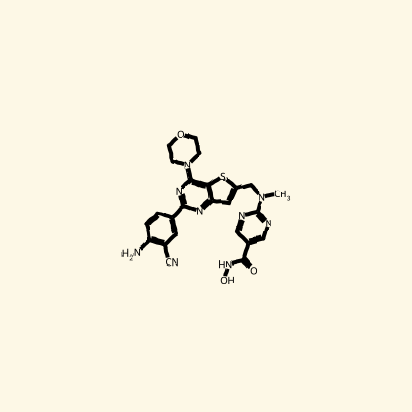 CN(Cc1cc2nc(-c3ccc(N)c(C#N)c3)nc(N3CCOCC3)c2s1)c1ncc(C(=O)NO)cn1